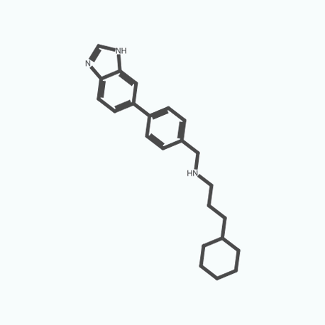 c1nc2ccc(-c3ccc(CNCCCC4CCCCC4)cc3)cc2[nH]1